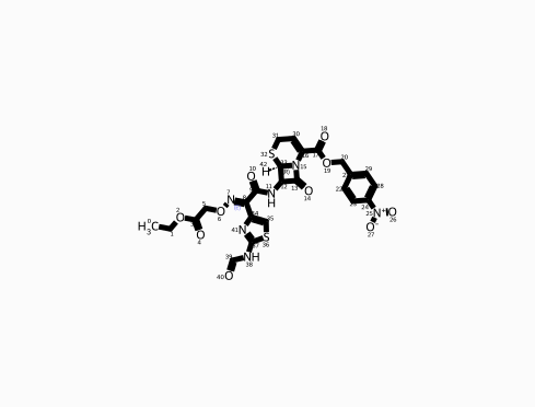 CCOC(=O)CO/N=C(/C(=O)NC1C(=O)N2C(C(=O)OCc3ccc([N+](=O)[O-])cc3)=CCS[C@H]12)c1csc(NC=O)n1